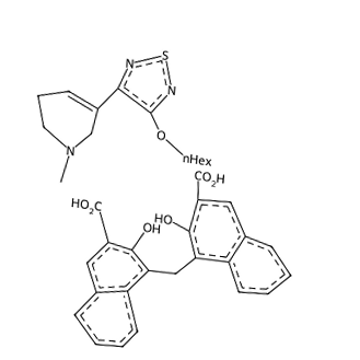 CCCCCCOc1nsnc1C1=CCCN(C)C1.O=C(O)c1cc2ccccc2c(Cc2c(O)c(C(=O)O)cc3ccccc23)c1O